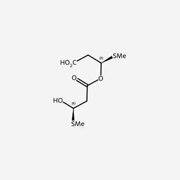 CS[C@H](CC(=O)O)OC(=O)C[C@H](O)SC